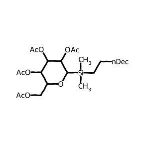 CCCCCCCCCCCC[Si](C)(C)C1OC(COC(C)=O)C(OC(C)=O)C(OC(C)=O)C1OC(C)=O